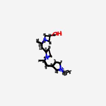 CC(C)N1CCC(CC(C)N2CCC2CC(C)N2CC(O)C2)C1